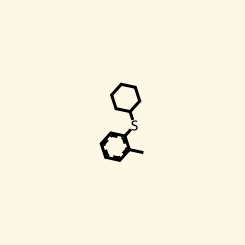 Cc1ccccc1SC1CCCCC1